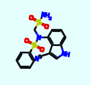 N#Cc1c[nH]c2cccc(N(CS(N)(=O)=O)S(=O)(=O)c3ccccc3)c12